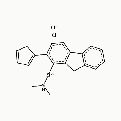 C[SiH](C)[Zr+2][c]1c(C2=CC=CC2)ccc2c1Cc1ccccc1-2.[Cl-].[Cl-]